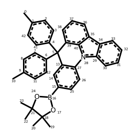 Cc1ccc(C2(c3ccc(C)cc3)c3cc(B4OC(C)(C)C(C)(C)O4)ccc3-n3c4ccccc4c4cccc2c43)cc1